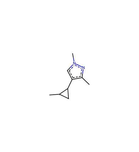 C[C]1CC1c1cn(C)nc1C